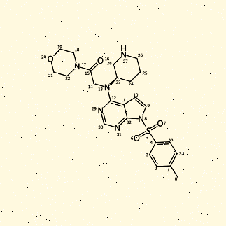 Cc1ccc(S(=O)(=O)n2ccc3c(N(CC(=O)N4CCOCC4)[C@@H]4CCCNC4)ncnc32)cc1